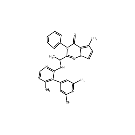 Cc1ccn2nc(C(C)Nc3ncnc(N)c3-c3cc(O)nc(C(F)(F)F)c3)n(-c3ccccc3)c(=O)c12